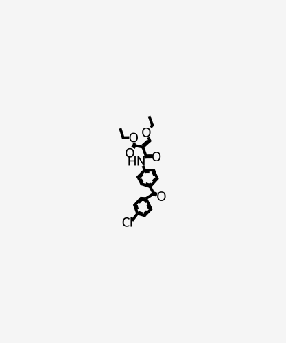 CCO/C=C(/C(=O)Nc1ccc(C(=O)c2ccc(Cl)cc2)cc1)C(=O)OCC